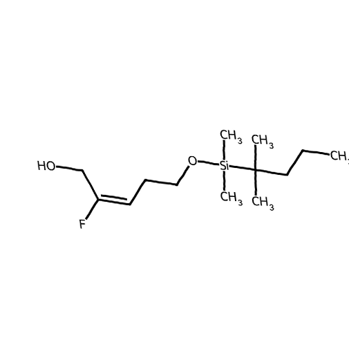 CCCC(C)(C)[Si](C)(C)OCC/C=C(/F)CO